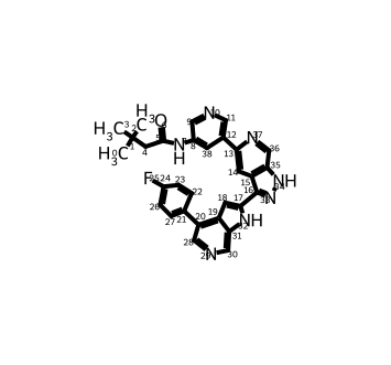 CC(C)(C)CC(=O)Nc1cncc(-c2cc3c(-c4cc5c(-c6ccc(F)cc6)cncc5[nH]4)n[nH]c3cn2)c1